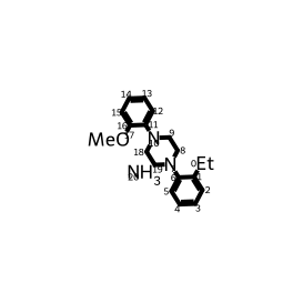 CCc1ccccc1N1CCN(c2ccccc2OC)CC1.N